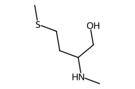 CNC(CO)CCSC